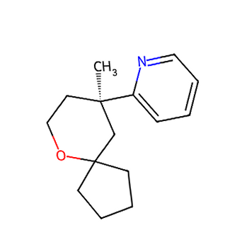 C[C@@]1(c2ccccn2)CCOC2(CCCC2)C1